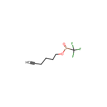 C#CCCCCOS(=O)C(F)(F)F